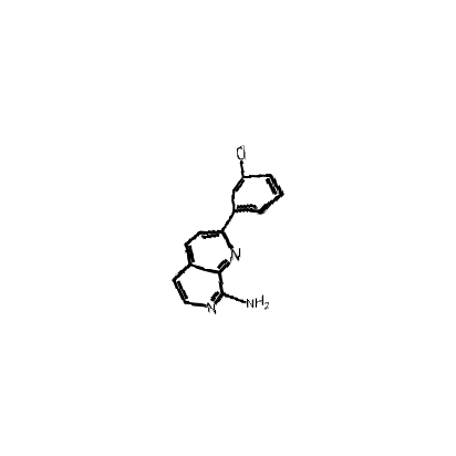 Nc1nccc2ccc(-c3cccc(Cl)c3)nc12